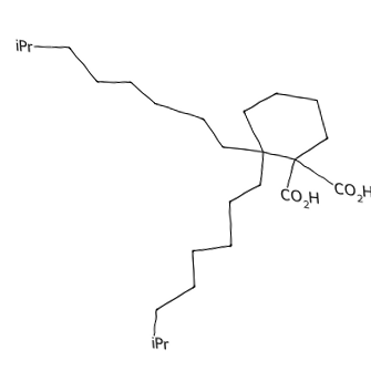 CC(C)CCCCCCC1(CCCCCCC(C)C)CCCCC1(C(=O)O)C(=O)O